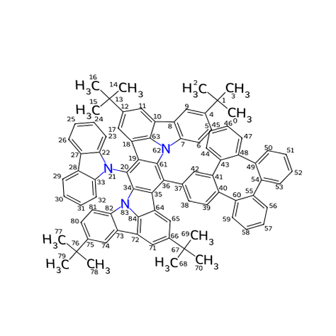 CC(C)(C)c1ccc2c(c1)c1cc(C(C)(C)C)cc3c4c(-n5c6ccccc6c6ccccc65)c5c(c(-c6ccc7c(c6)-c6ccccc6-c6ccccc6-c6ccccc6-7)c4n2c13)c1cc(C(C)(C)C)cc2c3cc(C(C)(C)C)ccc3n5c21